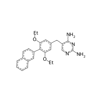 CCOc1cc(Cc2cnc(N)nc2N)cc(OCC)c1-c1ccc2ccccc2c1